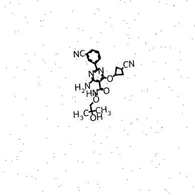 CC(C)(O)CONC(=O)c1c(N)nc(-c2cccc(C#N)c2)nc1OC1CC(C#N)C1